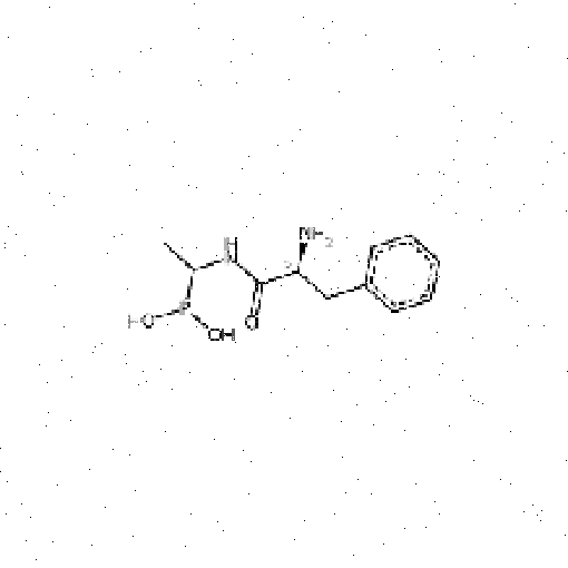 CC(NC(=O)[C@@H](N)Cc1ccccc1)P(O)O